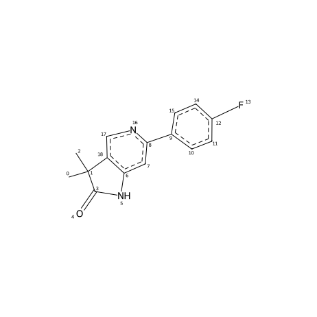 CC1(C)C(=O)Nc2cc(-c3ccc(F)cc3)ncc21